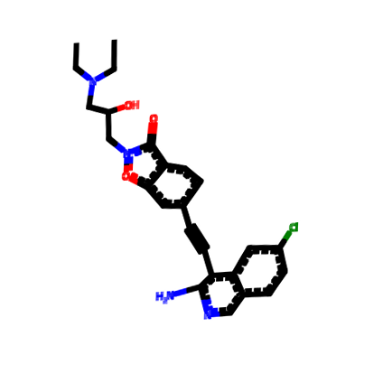 CCN(CC)CC(O)Cn1oc2cc(C#Cc3c(N)ncc4ccc(Cl)cc34)ccc2c1=O